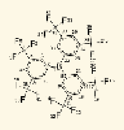 FC(F)(F)c1cc(B(c2cc(C(F)(F)F)cc(C(F)(F)F)c2)c2cc(C(F)(F)F)cc(C(F)(F)F)c2)cc(C(F)(F)F)c1